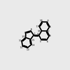 C1=CC2=CC=CC(=C3C=Cc4ccccc43)C2C=C1